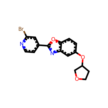 Brc1cc(-c2nc3cc(OC4CCOC4)ccc3o2)ccn1